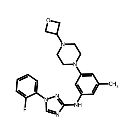 Cc1cc(Nc2ncn(-c3ccccc3F)n2)cc(N2CCN(C3COC3)CC2)c1